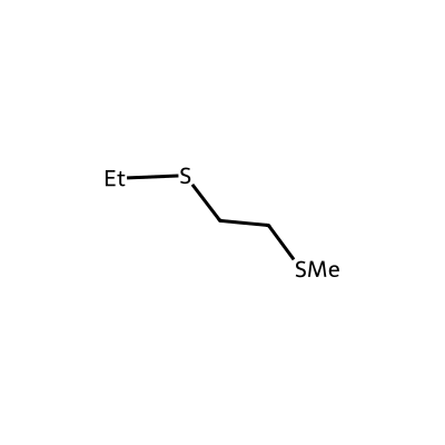 CCSCCSC